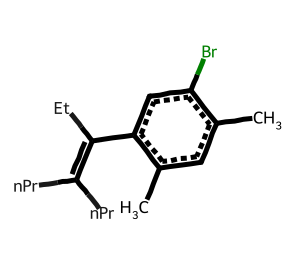 CCCC(CCC)=C(CC)c1cc(Br)c(C)cc1C